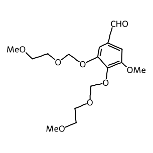 COCCOCOc1cc(C=O)cc(OC)c1OCOCCOC